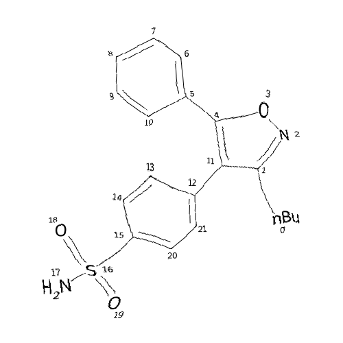 CCCCc1noc(-c2ccccc2)c1-c1ccc(S(N)(=O)=O)cc1